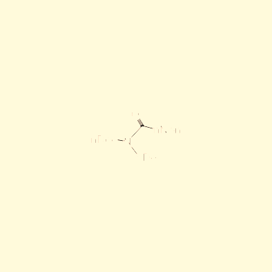 CCCCCCCCCCN(CCCCCCCCCC)C(=O)CCCCCCCCC